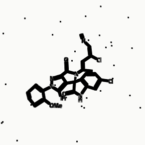 C=N/C=C(Cl)\C=C(/C)N1C(=O)c2nn(-c3ccccc3OC)c(C(C)C)c2[C@@]12C(=O)Nc1cc(Cl)ccc12